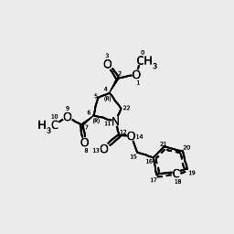 COC(=O)[C@@H]1C[C@H](C(=O)OC)N(C(=O)OCc2ccccc2)C1